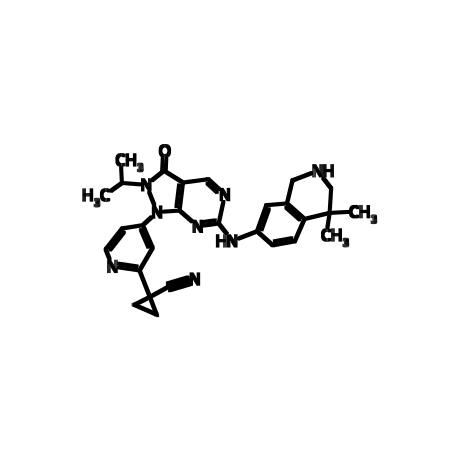 CC(C)n1c(=O)c2cnc(Nc3ccc4c(c3)CNCC4(C)C)nc2n1-c1ccnc(C2(C#N)CC2)c1